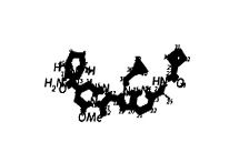 COc1cc(C(=O)N2[C@H]3CC[C@@H]2[C@H](N)C3)cc2nc(-c3cc4ccc([C@@H](C)NC(=O)C56CC(C5)C6)nc4n3CC3CC3)c(C)n12